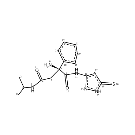 CC(C)NC(=O)C[C@@](N)(C(=O)Nc1n[nH]c(=S)s1)c1ccccc1